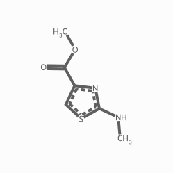 CNc1nc(C(=O)OC)cs1